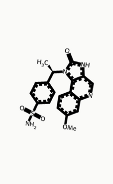 COc1ccc2c(c1)ncc1[nH]c(=O)n([C@H](C)c3ccc(S(N)(=O)=O)cc3)c12